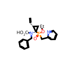 C=C[C@@H]1C[C@@]1(N(Cc1ccccc1)C(=O)O)P(=O)(Cc1ccccn1)OCC